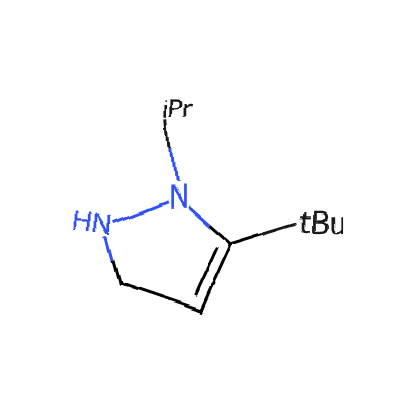 CC(C)N1NCC=C1C(C)(C)C